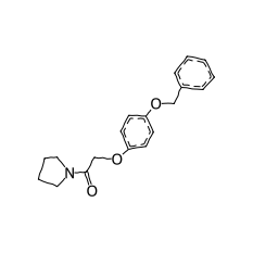 O=C(COc1ccc(OCc2ccccc2)cc1)N1CCCC1